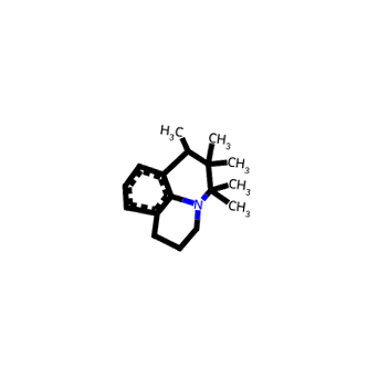 C[C]1c2cccc3c2N(CCC3)C(C)(C)C1(C)C